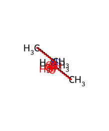 CCCCCCCCCCCCCCCCCC[N+](C)(C)CC[N+](C)(C)CCCCCCCCCCCCCCCCCC.O=C([O-])C(O)C(O)C(=O)[O-]